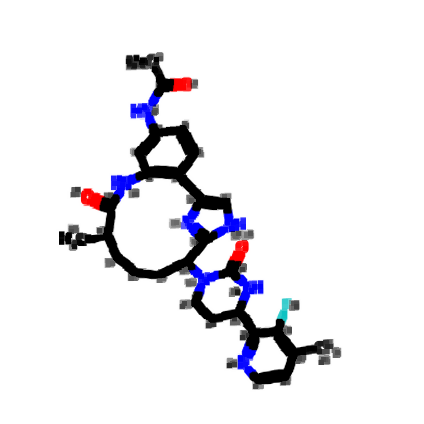 COC(=O)Nc1ccc2c(c1)NC(=O)[C@H](C)CCC[C@H](N1CCC(c3nccc(C(F)(F)F)c3F)NC1=O)c1nc-2c[nH]1